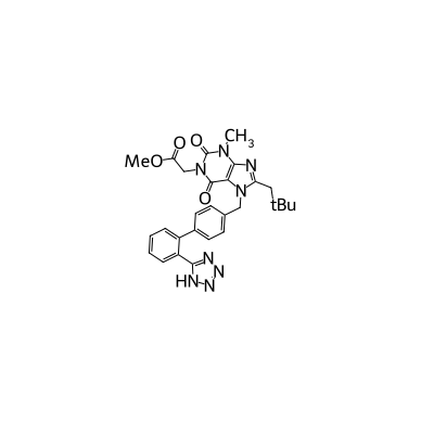 COC(=O)Cn1c(=O)c2c(nc(CC(C)(C)C)n2Cc2ccc(-c3ccccc3-c3nnn[nH]3)cc2)n(C)c1=O